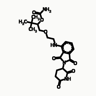 CC(C)(C)C(COCCNc1cccc2c1C(=O)N(C1CCC(=O)NC1=O)C2=O)OC(N)=O